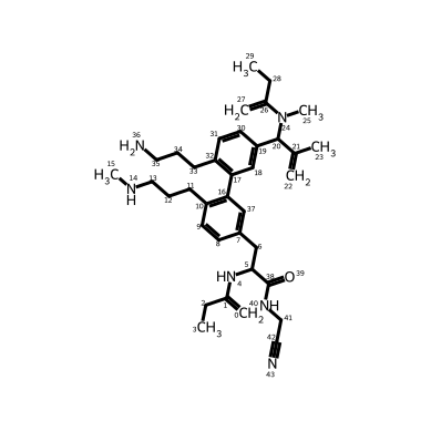 C=C(CC)NC(Cc1ccc(CCCNC)c(-c2cc(C(C(=C)C)N(C)C(=C)CC)ccc2CCCN)c1)C(=O)NCC#N